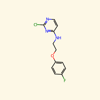 Fc1ccc(OCCNc2ccnc(Cl)n2)cc1